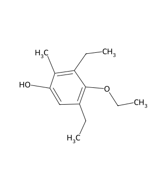 CCOc1c(CC)cc(O)c(C)c1CC